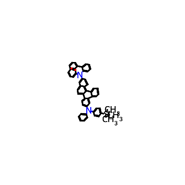 C[Si](C)(C)c1ccc(N(c2ccccc2)c2ccc3c(c2)c2ccccc2c2c4ccc(N(c5ccccc5)c5ccccc5-c5ccccc5)cc4ccc32)cc1